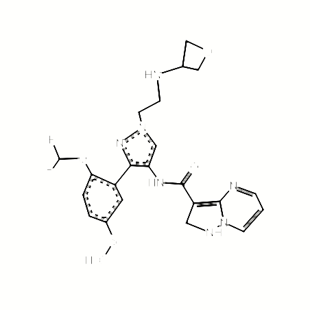 CSc1ccc(OC(F)F)c(-c2nn(CCNC3COC3)cc2NC(=O)C2=C3N=CC=CN3NC2)c1